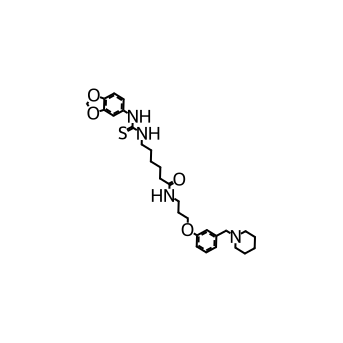 O=C(CCCCCNC(=S)Nc1ccc2c(c1)OCO2)NCCCOc1cccc(CN2CCCCC2)c1